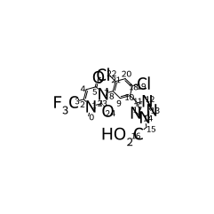 Cn1c(C(F)(F)F)cc(=O)n(-c2cc(-c3nnn(CC(=O)O)n3)c(Cl)cc2Cl)c1=O